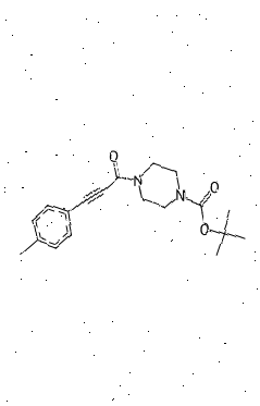 Cc1ccc(C#CC(=O)N2CCN(C(=O)OC(C)(C)C)CC2)cc1